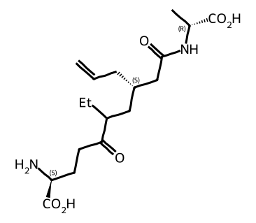 C=CC[C@H](CC(=O)N[C@H](C)C(=O)O)CC(CC)C(=O)CC[C@H](N)C(=O)O